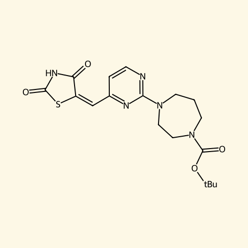 CC(C)(C)OC(=O)N1CCCN(c2nccc(/C=C3/SC(=O)NC3=O)n2)CC1